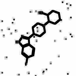 OC1CCCCC1N1CCC(c2n[nH]c3cc(F)ccc23)CC1